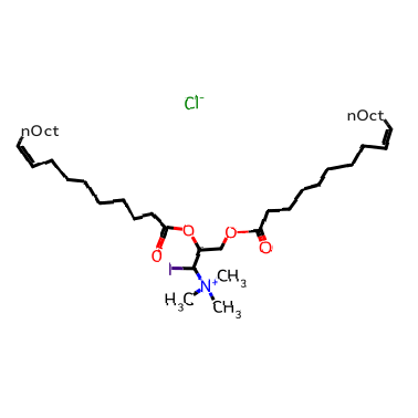 CCCCCCCC/C=C\CCCCCCCC(=O)OCC(OC(=O)CCCCCCC/C=C\CCCCCCCC)C(I)[N+](C)(C)C.[Cl-]